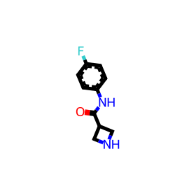 O=C(Nc1ccc(F)cc1)C1CNC1